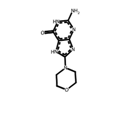 Nc1nc2nc(N3CCOCC3)[nH]c2c(=O)[nH]1